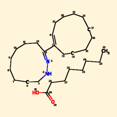 C1=C(C2=NNCCCCCCCC2)CCCCCCCCC1.CCCCCCCC(=O)O